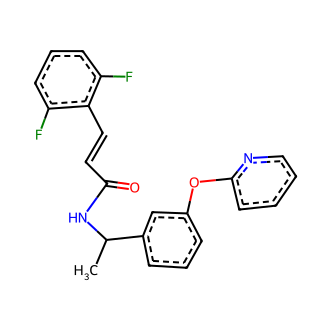 CC(NC(=O)C=Cc1c(F)cccc1F)c1cccc(Oc2ccccn2)c1